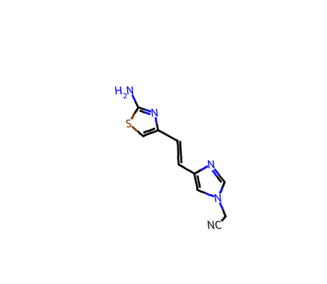 N#CCn1cnc(/C=C/c2csc(N)n2)c1